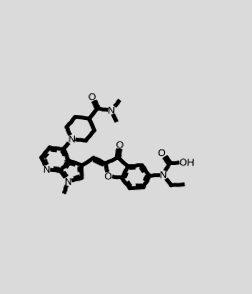 CCN(C(=O)O)c1ccc2c(c1)C(=O)/C(=C/c1cn(C)c3nccc(N4CCC(C(=O)N(C)C)CC4)c13)O2